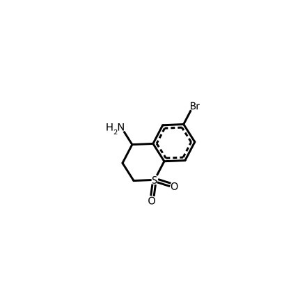 NC1CCS(=O)(=O)c2ccc(Br)cc21